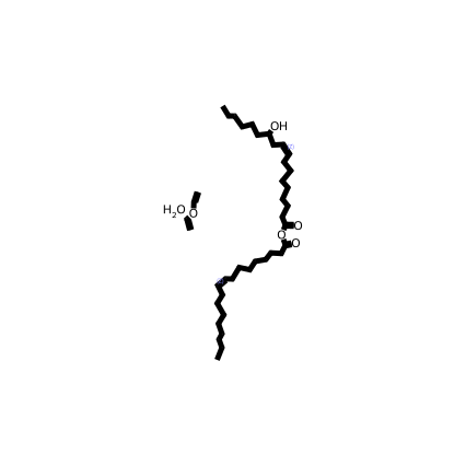 C=COC=C.CCCCCCCC/C=C\CCCCCCCC(=O)OC(=O)CCCCCCC/C=C\CC(O)CCCCCC.O